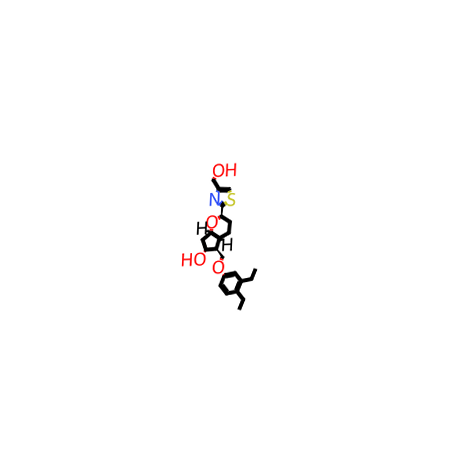 CCc1ccc(OC[C@@H]2[C@H]3CC[C@H](c4nc(CO)cs4)O[C@H]3C[C@@H]2O)cc1CC